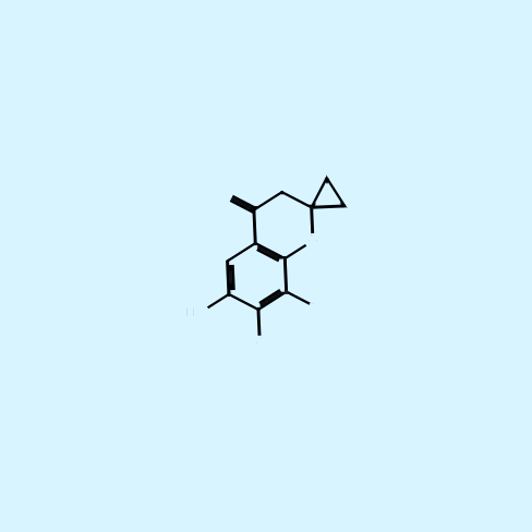 Cc1c(O)cc2c(c1C)OC1([CH]C2=O)CC1